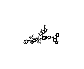 O=C(NS(=O)(=O)c1cc([N+](=O)[O-])c2c(cnn2CC2CCOCC2)c1)c1ccc(N2CCN(CC3=C(c4ccc(Cl)cc4)CC4(CCC4)CC3)CC2)cc1N1CCOc2nc3[nH]ccc3cc21